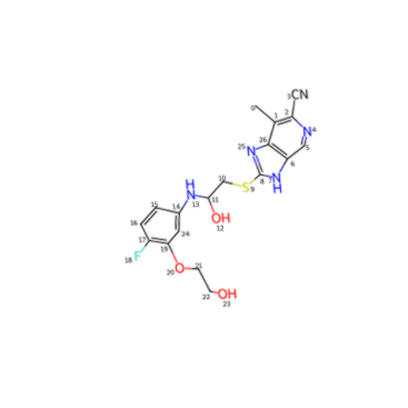 Cc1c(C#N)ncc2[nH]c(SCC(O)Nc3ccc(F)c(OCCO)c3)nc12